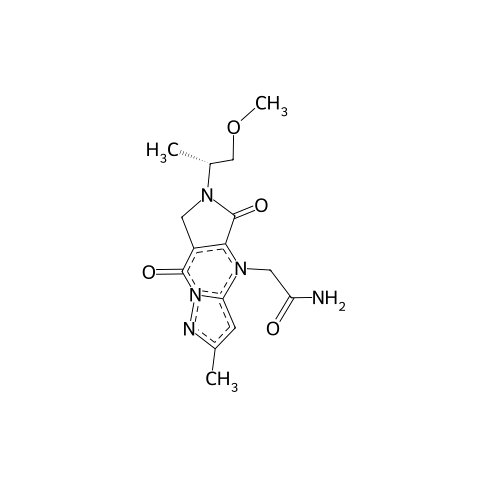 COC[C@@H](C)N1Cc2c(n(CC(N)=O)c3cc(C)nn3c2=O)C1=O